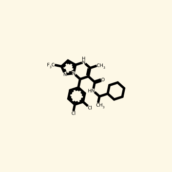 CC1=C(C(=O)NC(C)C2CCCCC2)C(c2ccc(Cl)c(Cl)c2)n2nc(C(F)(F)F)cc2N1